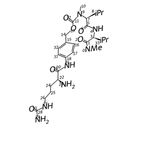 CNC(=O)[C@@H](NC(=O)[C@H](C(C)C)N(C)C(=O)OCc1ccc(NC(=O)[C@@H](N)CCCNC(N)=O)cc1)C(C)C